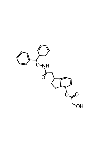 O=C(CC1CCc2c(OC(=O)CO)cccc21)NOC(c1ccccc1)c1ccccc1